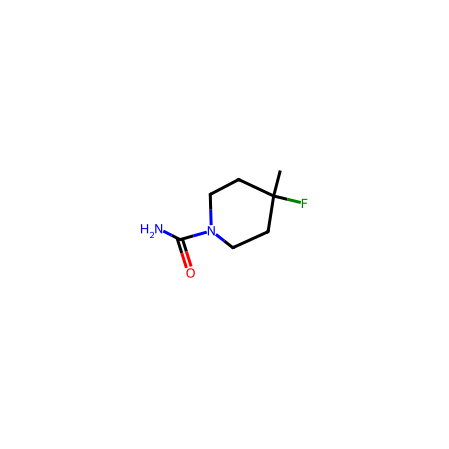 CC1(F)CCN(C(N)=O)CC1